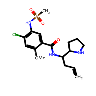 C=CCC(NC(=O)c1cc(NS(C)(=O)=O)c(Cl)cc1OC)C1CCCN1